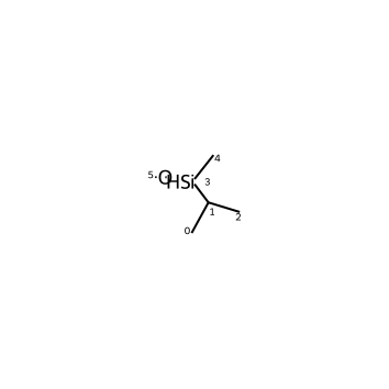 CC(C)[SiH](C)[O]